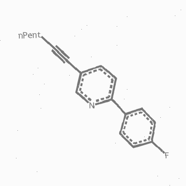 CCCCCC#Cc1ccc(-c2ccc(F)cc2)nc1